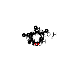 O=C(O)[C@H](Cc1ccccc1)NC(=O)[C@H]1Cc2ccc(cc2)NC(=O)[C@@H]2CCCC[C@H]2C(=O)N[C@@H](Cc2cccs2)C(=O)N[C@H](Cc2ccc(-c3ccccc3)cc2)C(=O)N[C@@H](CCc2ccccc2)C(=O)N1